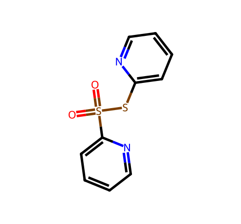 O=S(=O)(Sc1ccccn1)c1ccccn1